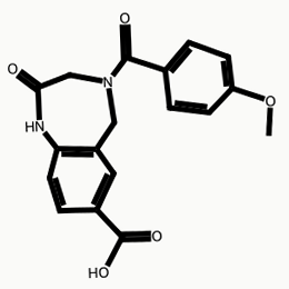 COc1ccc(C(=O)N2CC(=O)Nc3ccc(C(=O)O)cc3C2)cc1